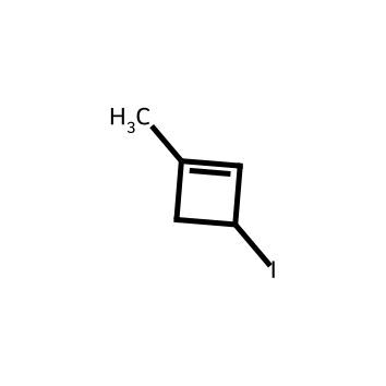 CC1=CC(I)C1